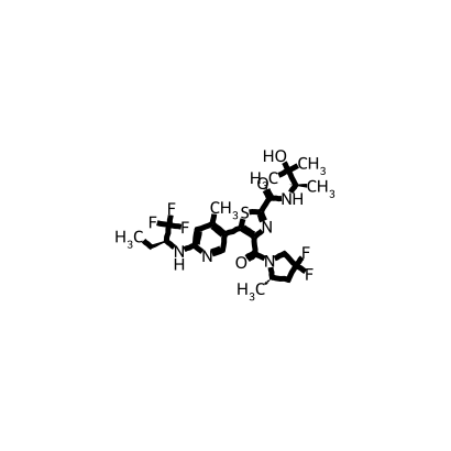 CC[C@H](Nc1cc(C)c(-c2sc(C(=O)N[C@H](C)C(C)(C)O)nc2C(=O)N2CC(F)(F)C[C@@H]2C)cn1)C(F)(F)F